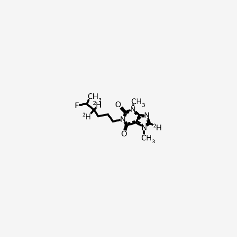 [2H]c1nc2c(c(=O)n(CCCC([2H])([2H])C(C)F)c(=O)n2C)n1C